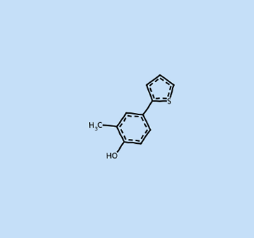 Cc1cc(-c2cccs2)ccc1O